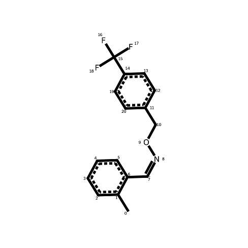 Cc1ccccc1/[C]=N\OCc1ccc(C(F)(F)F)cc1